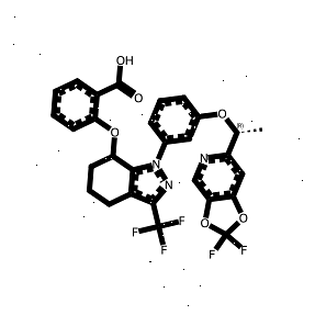 C[C@@H](Oc1cccc(-n2nc(C(F)(F)F)c3c2C(Oc2ccccc2C(=O)O)CCC3)c1)c1cc2c(cn1)OC(F)(F)O2